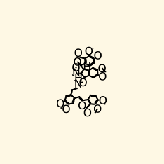 COc1ccc2c(c1OC)C(=O)O/C2=C\c1cc2c(cc1CCN(C)O[C@H]1c3cc4c(cc3[C@H]3[C@@H]1N(C)O[C@@]31OC(=O)c3c1ccc(OC)c3OC)OCO4)OCO2